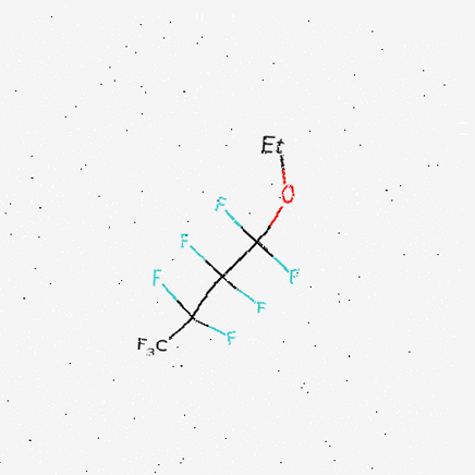 CCOC(F)(F)C(F)(F)C(F)(F)C(F)(F)F